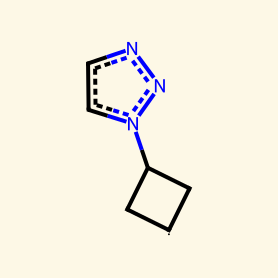 [CH]1CC(n2ccnn2)C1